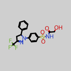 O=C(CO)NS(=O)(=O)c1ccc(N2N=C(C(F)(F)F)CC2c2ccccc2)cc1